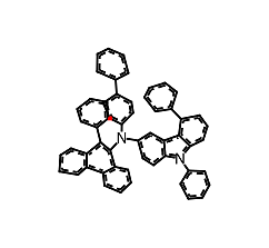 c1ccc(-c2ccc(N(c3ccc4c(c3)c3c(-c5ccccc5)cccc3n4-c3ccccc3)c3c(-c4ccccc4)c4ccccc4c4ccccc34)cc2)cc1